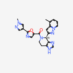 Cc1cccn2nc([C@H]3c4nc[nH]c4CCN3C(=O)c3cnc(-c4cnn(C)c4)o3)cc12